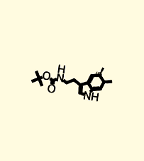 CC1C=c2[nH]cc(CCNC(=O)OC(C)(C)C)c2=C[C@H]1C